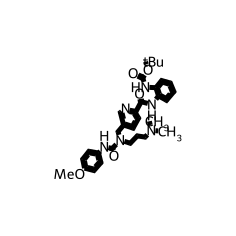 COc1ccc(NC(=O)N(CCCN(C)C)Cc2ccc(C(=O)Nc3ccccc3NC(=O)OC(C)(C)C)nc2)cc1